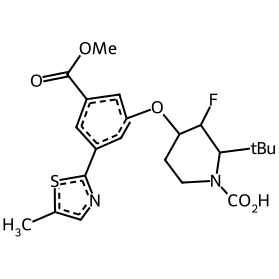 COC(=O)c1cc(OC2CCN(C(=O)O)C(C(C)(C)C)C2F)cc(-c2ncc(C)s2)c1